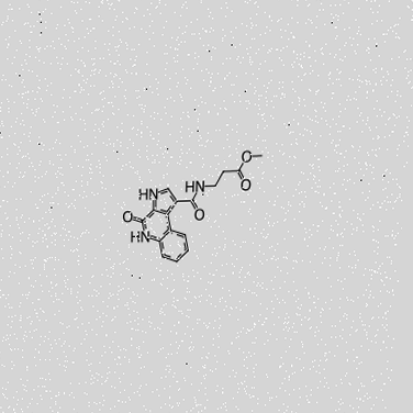 COC(=O)CCNC(=O)c1c[nH]c2c(=O)[nH]c3ccccc3c12